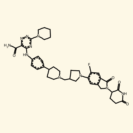 NC(=O)c1nnc(N2CCCCC2)nc1Nc1ccc(C2CCN(CC3CCN(c4cc5c(cc4F)C(=O)N(C4CCC(=O)NC4=O)C5)C3)CC2)cc1